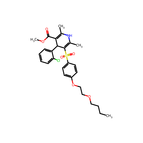 CCCCOCCOc1ccc(S(=O)(=O)C2=C(C)NC(C)=C(C(=O)OC)C2c2ccccc2Cl)cc1